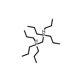 CCC[PH](CCC)(CCC)C[PH](CCC)(CCC)CCC